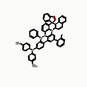 Cc1ccccc1-c1cc2c3c(c1)N1c4ccc5ccccc5c4C4(c5ccccc5-c5ccccc54)c4cccc(c41)B3N(c1ccccc1)c1cc(N(c3ccc(C(C)(C)C)cc3)c3ccc(C(C)(C)C)cc3)ccc1-2